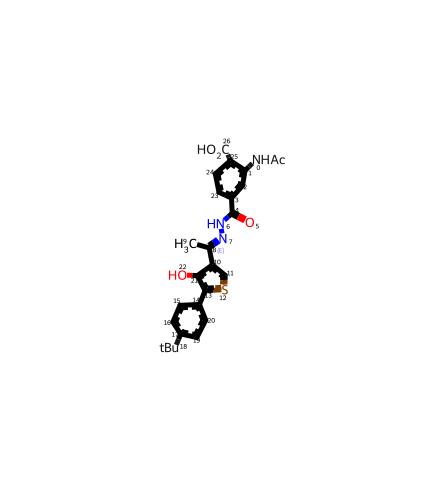 CC(=O)Nc1cc(C(=O)N/N=C(\C)c2csc(-c3ccc(C(C)(C)C)cc3)c2O)ccc1C(=O)O